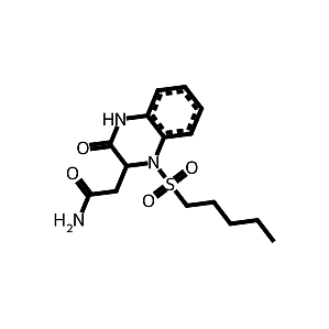 CCCCCS(=O)(=O)N1c2ccccc2NC(=O)C1CC(N)=O